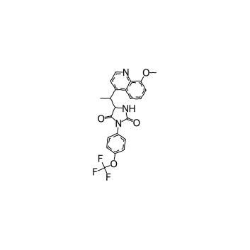 COc1cccc2c(C(C)C3NC(=O)N(c4ccc(OC(F)(F)F)cc4)C3=O)ccnc12